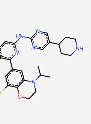 CC(C)N1CCOc2c(F)cc(-c3nc(Nc4ncc(C5CCNCC5)cn4)ccc3F)cc21